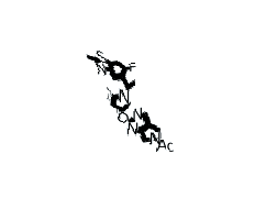 CC(=O)N1Cc2cnc(O[C@@H]3C[C@H](C)N(C(C)c4cc5nc(C)sc5cc4F)C3)nc2C1